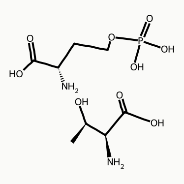 C[C@@H](O)[C@H](N)C(=O)O.N[C@@H](CCOP(=O)(O)O)C(=O)O